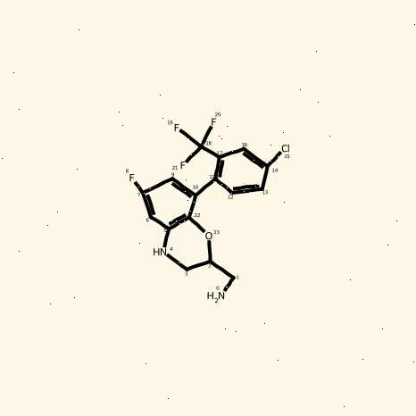 NCC1CNc2cc(F)cc(-c3ccc(Cl)cc3C(F)(F)F)c2O1